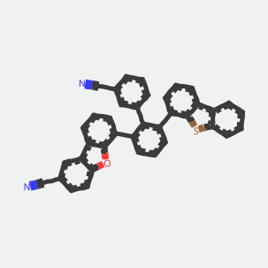 N#Cc1cccc(-c2c(-c3cccc4c3oc3ccc(C#N)cc34)cccc2-c2cccc3c2sc2ccccc23)c1